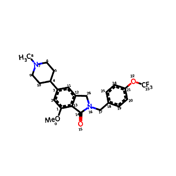 COc1cc(C2CCN(C)CC2)cc2c1C(=O)N(Cc1ccc(OC(F)(F)F)cc1)C2